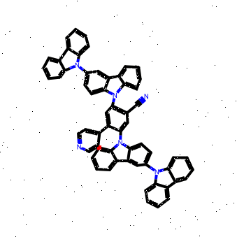 N#Cc1cc(-n2c3ccccc3c3cc(-n4c5ccccc5c5ccccc54)ccc32)c(-c2ccncc2)cc1-n1c2ccccc2c2cc(-n3c4ccccc4c4ccccc43)ccc21